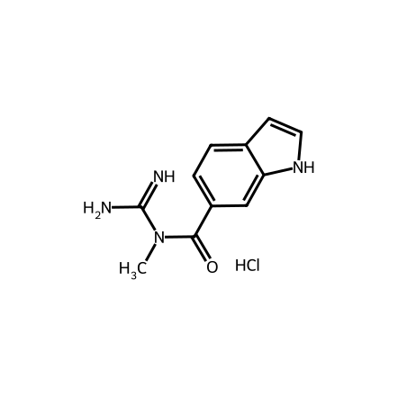 CN(C(=N)N)C(=O)c1ccc2cc[nH]c2c1.Cl